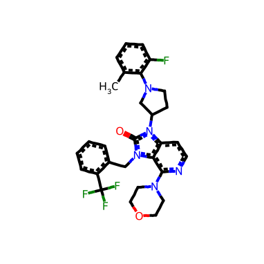 Cc1cccc(F)c1N1CCC(n2c(=O)n(Cc3ccccc3C(F)(F)F)c3c(N4CCOCC4)nccc32)C1